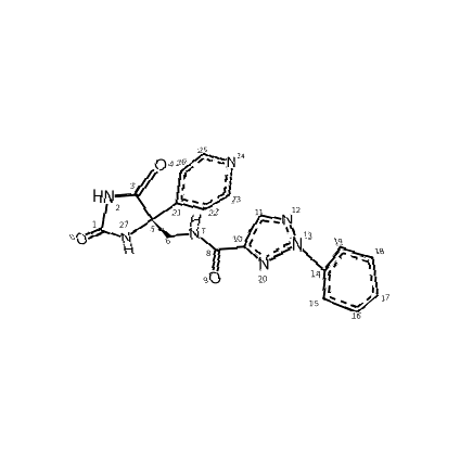 O=C1NC(=O)[C@](CNC(=O)c2cnn(-c3ccccc3)n2)(c2ccncc2)N1